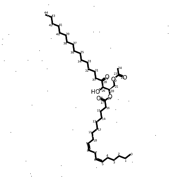 CCCCC/C=C\C/C=C\CCCCCCCC(=O)O[C@H](COC(C)=O)C(O)C(=O)CCCCCCCCCCCCCCC